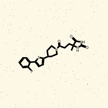 CC1(CCC(=O)N2CCC(c3ccc(-c4ccccc4F)s3)CC2)NC(=O)NC1=O